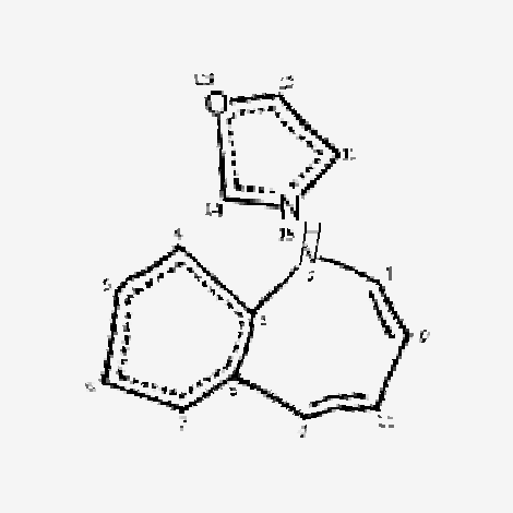 C1=CNc2ccccc2C=C1.c1cocn1